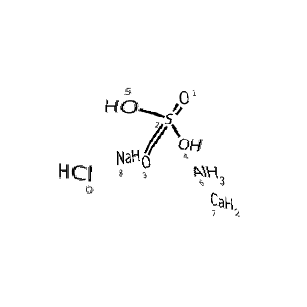 Cl.O=S(=O)(O)O.[AlH3].[CaH2].[NaH]